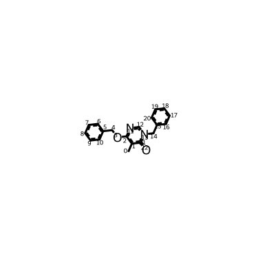 Cc1c(OCc2ccccc2)ncn(Cc2ccccc2)c1=O